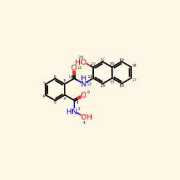 O=C(NO)c1ccccc1C(=O)Nc1cc2ccccc2cc1O